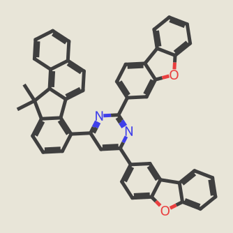 CC1(C)c2cccc(-c3cc(-c4ccc5oc6ccccc6c5c4)nc(-c4ccc5c(c4)oc4ccccc45)n3)c2-c2ccc3ccccc3c21